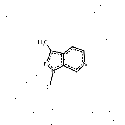 Cc1nn(I)c2cnccc12